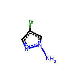 Nn1cc(Br)cn1